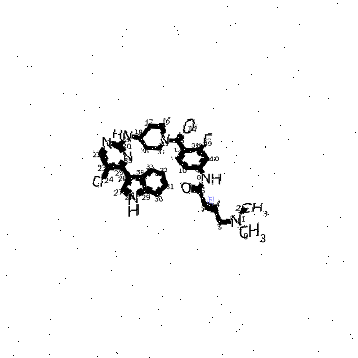 CN(C)C/C=C/C(=O)Nc1ccc(C(=O)N2CCC(Nc3ncc(Cl)c(-c4c[nH]c5ccccc45)n3)CC2)c(F)c1